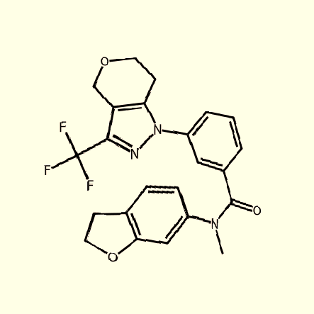 CN(C(=O)c1cccc(-n2nc(C(F)(F)F)c3c2CCOC3)c1)c1ccc2c(c1)OCC2